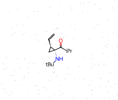 C=C[C@@H]1C[C@]1(NC(C)(C)C)C(=O)C(C)C